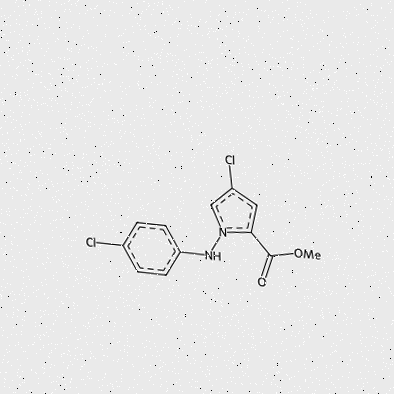 COC(=O)c1cc(Cl)cn1Nc1ccc(Cl)cc1